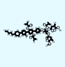 C=C(C)C(=O)OCC(COC(=O)CC(=C)C(=O)OC)(COC(=O)CC(=C)C(=O)OC)COc1ccc(-c2cc(OC(=O)C(=C)C)c(-c3ccc(C4CCC(CCCCC)CC4)cc3F)cc2OC(=O)C(=C)C)cc1